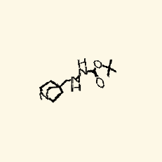 CC(C)(C)OC(=O)NNCC12CCN(CC1)C2